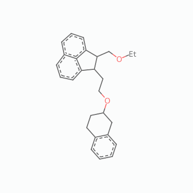 CCOCC1c2cccc3cccc(c23)C1CCOC1CCc2ccccc2C1